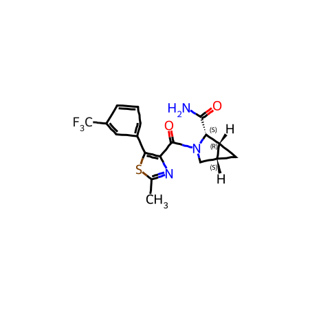 Cc1nc(C(=O)N2C[C@H]3C[C@H]3[C@H]2C(N)=O)c(-c2cccc(C(F)(F)F)c2)s1